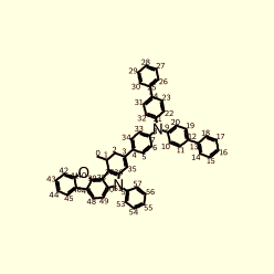 CC1CC(c2ccc(N(c3ccc(-c4ccccc4)cc3)c3ccc(-c4ccccc4)cc3)cc2)=Cc2c1c1c3oc4ccccc4c3ccc1n2-c1ccccc1